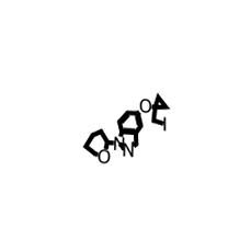 ICC1(Oc2ccc3c(cnn3C3CCCCO3)c2)CC1